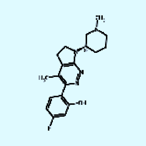 Cc1c(-c2ccc(F)cc2O)nnc2c1CCN2[C@@H]1CCCN(C)C1